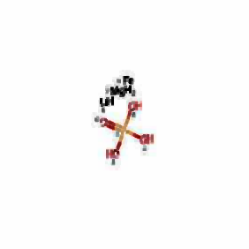 O=P(O)(O)O.[Fe].[LiH].[MgH2]